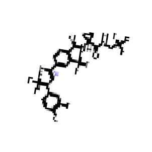 O=C(NC1(C(=O)NCC(F)(F)F)CC1)c1ccc(/C(F)=C/C(c2ccc(Cl)c(F)c2)C(F)(F)F)cc1C(F)(F)F